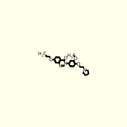 C=CCOc1ccc2c(=O)n(-c3ccc(OCCN4CCCC4)c(OC)c3)cnc2c1